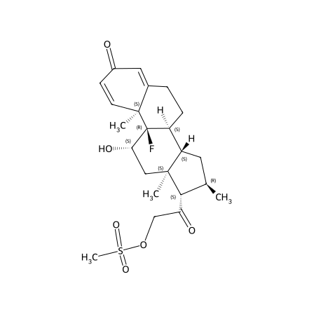 C[C@@H]1C[C@H]2[C@@H]3CCC4=CC(=O)C=C[C@]4(C)[C@@]3(F)[C@@H](O)C[C@]2(C)[C@H]1C(=O)COS(C)(=O)=O